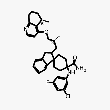 C[C@@H](COc1ccnc2c1[C@H](C)CCC2)CC1Cc2ccccc2C12CCC(Nc1cc(F)cc(Cl)c1)(C(N)=O)CC2